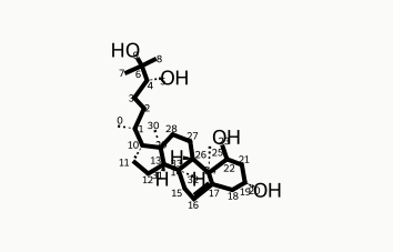 C[C@H](CC[C@@H](O)C(C)(C)O)[C@H]1CC[C@H]2[C@@H]3CC=C4C[C@@H](O)CC(O)[C@]4(C)[C@H]3CC[C@]12C